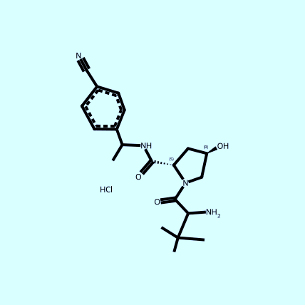 CC(NC(=O)[C@@H]1C[C@@H](O)CN1C(=O)C(N)C(C)(C)C)c1ccc(C#N)cc1.Cl